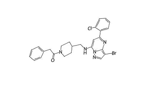 O=C(Cc1ccccc1)N1CCC(CNc2cc(-c3ccccc3Cl)nc3c(Br)cnn23)CC1